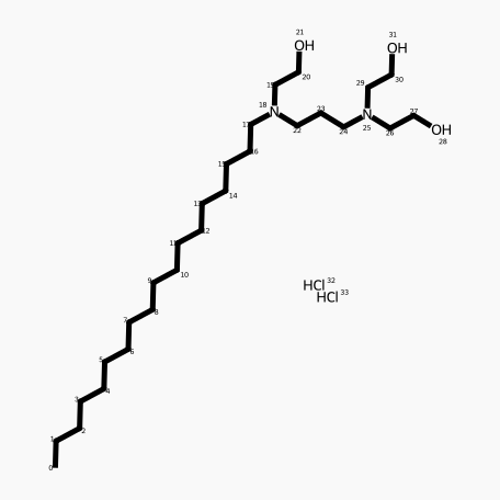 CCCCCCCCCCCCCCCCCCN(CCO)CCCN(CCO)CCO.Cl.Cl